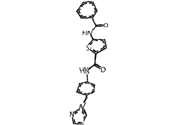 O=C(Nc1ccc(C(=O)Nc2ccc(-n3cncn3)cc2)s1)c1ccccc1